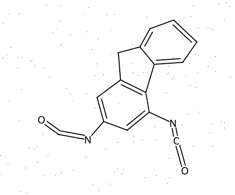 O=C=Nc1cc2c(c(N=C=O)c1)-c1ccccc1C2